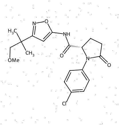 COCC(C)(C)c1cc(NC(=O)[C@@H]2CCC(=O)N2c2ccc(Cl)cc2)on1